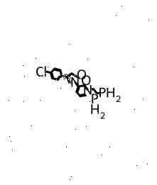 O=C1C[C@H](c2ccc(Cl)cc2)CN1c1cccn(CC(P)P)c1=O